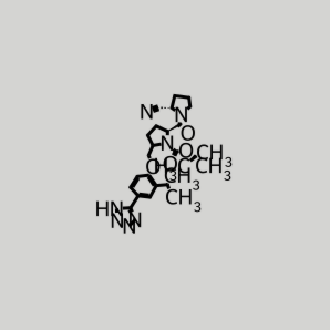 CC(C)c1cc(-c2nnn[nH]2)ccc1OCC1CC[C@@H](C(=O)N2CCC[C@H]2C#N)N1C(=O)OC(C)(C)C